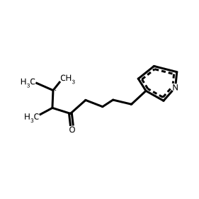 C[C](C)C(C)C(=O)CCCCc1cccnc1